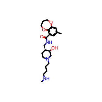 CNCCCCN1CC[C@@H](CNC(=O)c2cc(C)cc3c2OCCCO3)C(O)C1